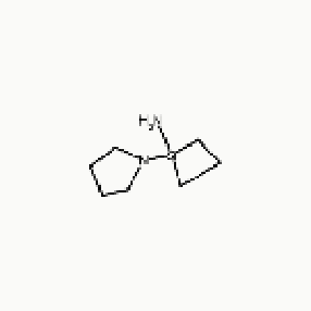 N[Si]1(N2CCCC2)CCC1